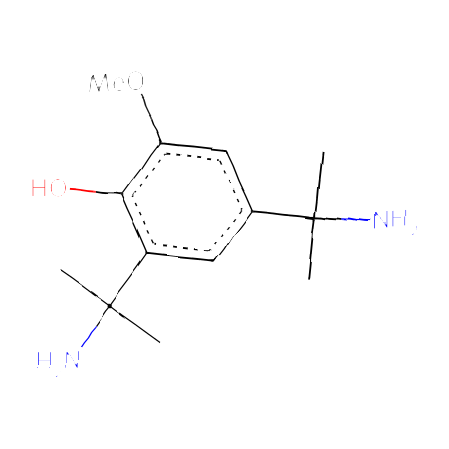 COc1cc(C(C)(C)N)cc(C(C)(C)N)c1O